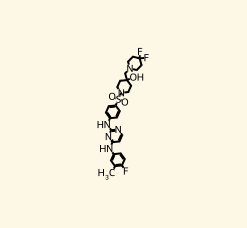 Cc1cc(Nc2ccnc(Nc3ccc(S(=O)(=O)N4CCC(O)(CN5CCC(F)(F)CC5)CC4)cc3)n2)ccc1F